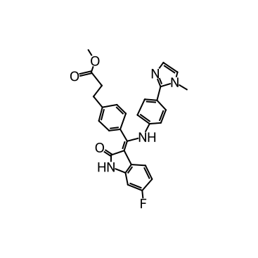 COC(=O)CCc1ccc(C(Nc2ccc(-c3nccn3C)cc2)=C2C(=O)Nc3cc(F)ccc32)cc1